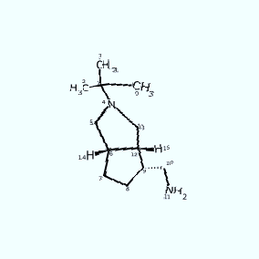 CC(C)(C)N1C[C@H]2CC[C@@H](CN)[C@H]2C1